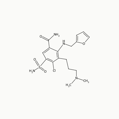 CN(C)CCCc1c(Cl)c(S(N)(=O)=O)cc(C(N)=O)c1NCc1ccco1